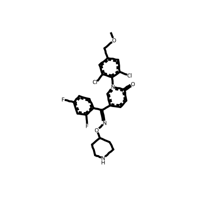 COCc1cc(Cl)c(-n2cc(C(=NOC3CCNCC3)c3ccc(F)cc3F)ccc2=O)c(Cl)c1